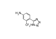 Nc1ccc(-c2nnn[nH]2)c(C(F)(F)F)c1